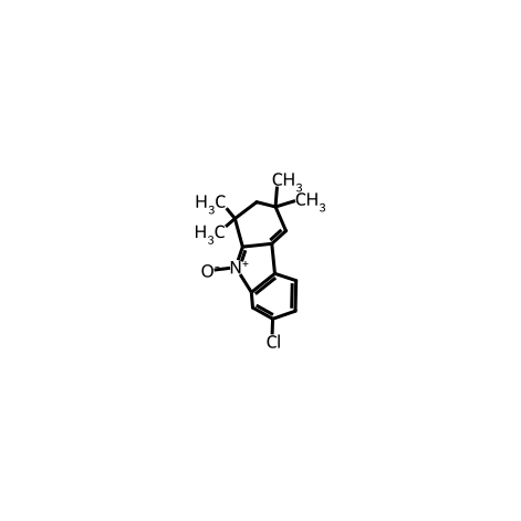 CC1(C)C=C2C(=[N+]([O-])c3cc(Cl)ccc32)C(C)(C)C1